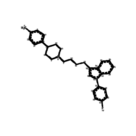 Cc1ccc(C2CCN(CCCCc3cn(-c4ccc(F)cc4)c4ccccc34)CC2)cc1